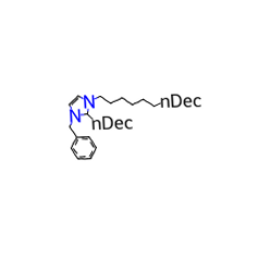 CCCCCCCCCCCCCCCCN1C=CN(Cc2ccccc2)C1CCCCCCCCCC